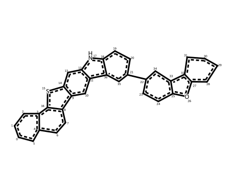 c1ccc2c(c1)ccc1c3cc4c(cc3sc21)[nH]c1ccc(-c2ccc3oc5ccccc5c3c2)cc14